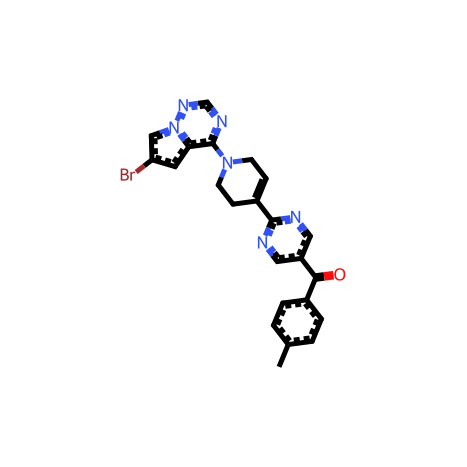 Cc1ccc(C(=O)c2cnc(C3=CCN(c4ncnn5cc(Br)cc45)CC3)nc2)cc1